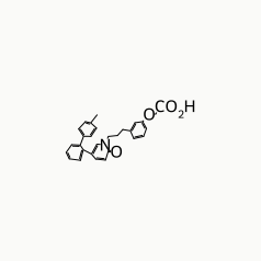 Cc1ccc(-c2ccccc2-c2ccc(=O)n(CCCc3cccc(OCC(=O)O)c3)c2)cc1